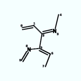 C=CC(=N\C)/C(=C/C)N=C